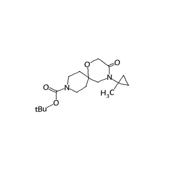 CC(C)(C)OC(=O)N1CCC2(CC1)CN(C1(C)CC1)C(=O)CO2